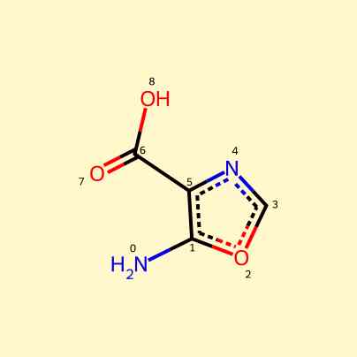 Nc1ocnc1C(=O)O